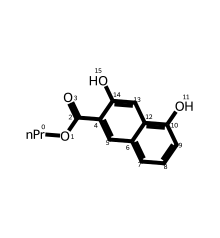 CCCOC(=O)c1cc2cccc(O)c2cc1O